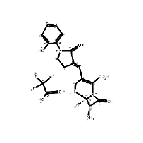 N[C@@H]1C(=O)N2C(C(=O)O)=C(/C=C3\CCN(c4ccccc4O)C3=O)CS[C@H]12.O=C(O)C(F)(F)F